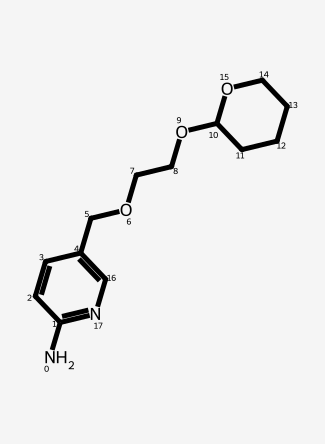 Nc1ccc(COCCOC2CCCCO2)cn1